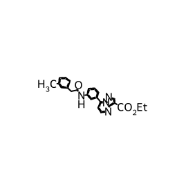 CCOC(=O)c1cnn2c(-c3cccc(NC(=O)Cc4cccc(C)c4)c3)ccnc12